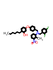 CCCCCCc1ccc(Oc2ccc(CN(Cc3ccc(F)cc3F)c3cccc([N+](=O)[O-])c3C)cc2)cc1O